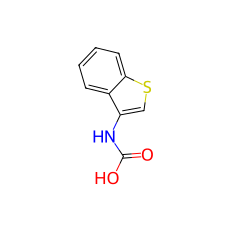 O=C(O)Nc1csc2ccccc12